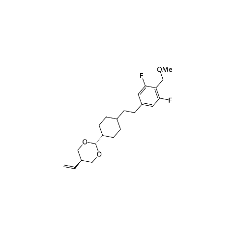 C=C[C@H]1CO[C@H](C2CCC(CCc3cc(F)c(COC)c(F)c3)CC2)OC1